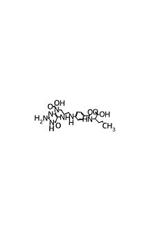 CCCC(NC(=O)c1ccc(NCC2CN(C(=O)O)c3nc(N)[nH]c(=O)c3N2)cc1)C(=O)O